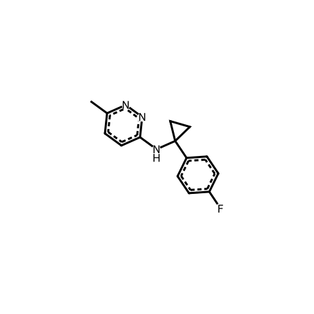 Cc1ccc(NC2(c3ccc(F)cc3)CC2)nn1